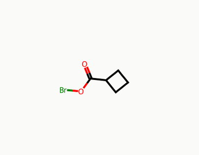 O=C(OBr)C1CCC1